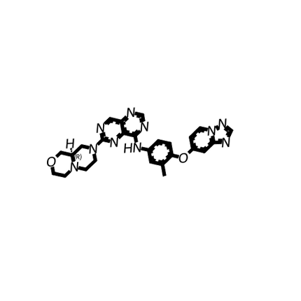 Cc1cc(Nc2ncnc3cnc(N4CCN5CCOC[C@H]5C4)nc23)ccc1Oc1ccn2ncnc2c1